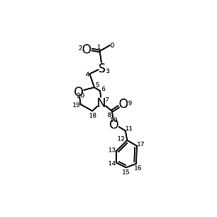 CC(=O)SCC1CN(C(=O)OCc2ccccc2)CCO1